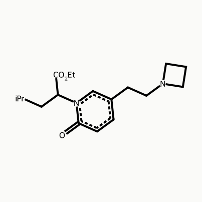 CCOC(=O)C(CC(C)C)n1cc(CCN2CCC2)ccc1=O